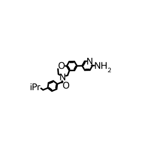 CC(C)Cc1ccc(C(=O)N2CCOc3ccc(-c4ccc(N)nc4)cc3C2)cc1